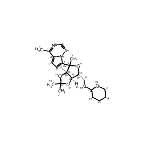 Cc1ncnn2c(C3(O)O[C@H](COC4CCCCO4)[C@H]4OC(C)(C)O[C@H]43)ccc12